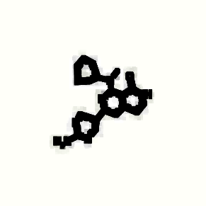 CN(c1ccccc1)c1nc(-c2cnc(N)nc2)cc2cc[nH]c(=O)c12